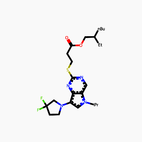 CCCCC(CC)COC(=O)CCSc1ncc2c(n1)c(N1CCC(F)(F)C1)cn2C(C)C